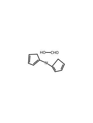 C1=CC[C]([Ni][C]2=CC=CC2)=C1.O=CO